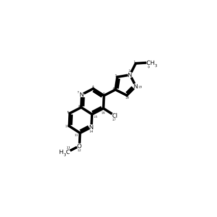 CCn1cc(-c2cnc3ccc(OC)nc3c2Cl)cn1